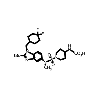 CN(c1ccc2c(c1)nc(C(C)(C)C)n2CC1CCC(F)(F)CC1)S(=O)(=O)N1CCC(NC(=O)O)CC1